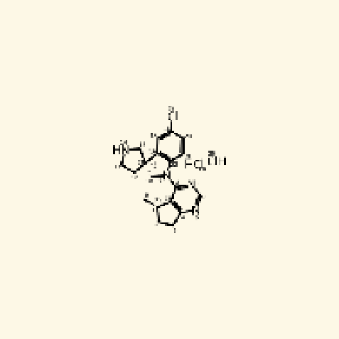 C[C@@H]1CCc2ncnc(N3C[C@@]4(CCNC4)c4cc(Cl)ccc43)c21.Cl.Cl